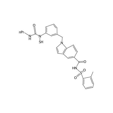 CCCNC(=O)N(S)c1cccc(Cn2ccc3cc(C(=O)NS(=O)(=O)c4ccccc4C)ccc32)c1